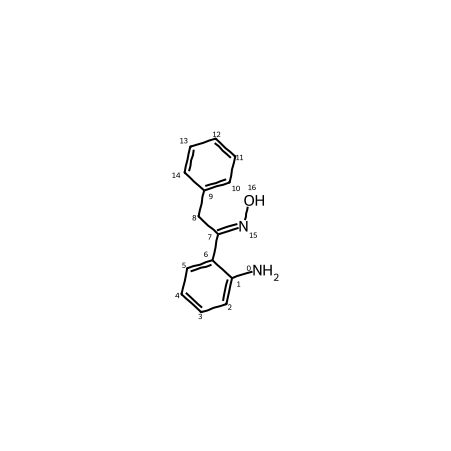 Nc1ccccc1/C(Cc1ccccc1)=N/O